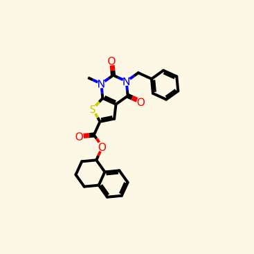 Cn1c(=O)n(Cc2ccccc2)c(=O)c2cc(C(=O)OC3CCCc4ccccc43)sc21